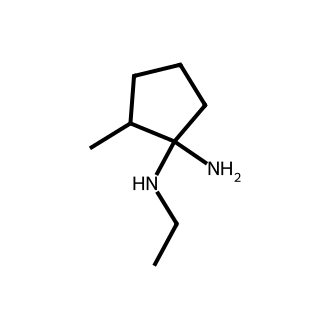 CCNC1(N)CCCC1C